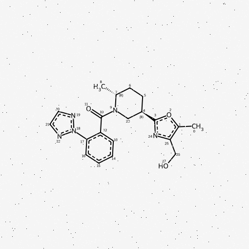 Cc1oc([C@@H]2CC[C@@H](C)N(C(=O)c3ccccc3-n3nccn3)C2)nc1CO